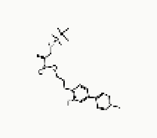 C=C(CO[Si](C)(C)C(C)(C)C)C(=O)OCCCc1ccc(-c2ccc(C)cc2)cc1F